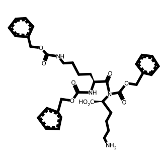 NCCCC[C@@H](C(=O)O)N(C(=O)OCc1ccccc1)C(=O)[C@H](CCCCNC(=O)OCc1ccccc1)NC(=O)OCc1ccccc1